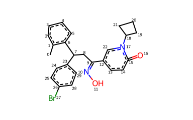 Cc1ccccc1C(CC(=NO)c1ccc(=O)n(C2CCC2)c1)c1ccc(Br)cc1